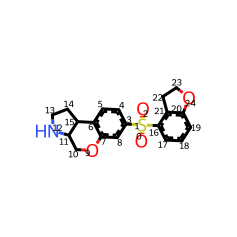 O=S(=O)(c1ccc2c(c1)OCC1NCCC21)c1cccc2c1CCO2